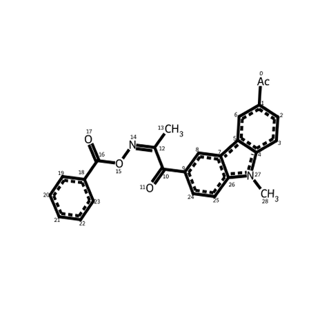 CC(=O)c1ccc2c(c1)c1cc(C(=O)/C(C)=N\OC(=O)c3ccccc3)ccc1n2C